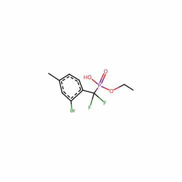 CCOP(=O)(O)C(F)(F)c1ccc(C)cc1Br